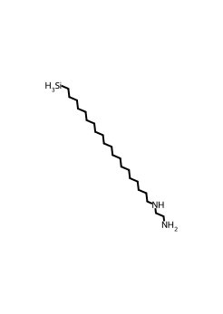 NCCNCCCCCCCCCCCCCCCCCCCC[SiH3]